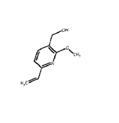 C=Cc1ccc(CO)c(OC)n1